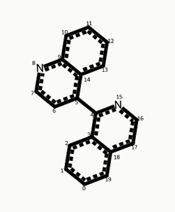 c1ccc2c(-c3ccnc4ccccc34)nccc2c1